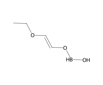 CCOC=COBO